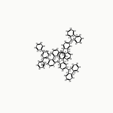 N#Cc1ccc(-n2c3ccccc3c3cc(C4c5ccccc5-c5ccccc54)ccc32)c(-c2cc(-n3c4ccccc4c4cc(C5c6ccccc6-c6ccccc65)ccc43)ccc2-c2nc(-c3ccccc3)nc(-c3ccccc3)n2)c1